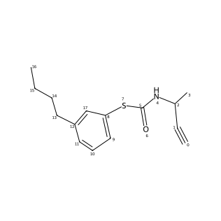 C#CC(C)NC(=O)Sc1cccc(CCCC)c1